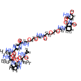 CCC[C@H](NC(=O)[C@@H]1[C@H]2CCC[C@H]2CN1C(=O)[C@@H](NC(=O)[C@H](C)NC(=O)c1cnc(C(=O)NCCOCCOCCNC(=O)CCOCCOCCNc2cccc3c2C(=O)N(C2CCC(=O)NC2=O)C3=O)cn1)C(C)(C)C)C(=O)C(=O)NC1CC1